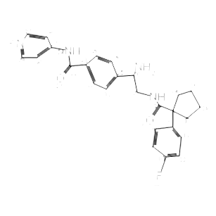 N[C@@H](CNC(=O)C1(c2ccc(F)cc2)CCCC1)c1ccc(C(=O)Nc2ccncc2)cc1